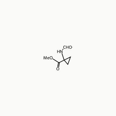 COC(=O)C1(N[C]=O)CC1